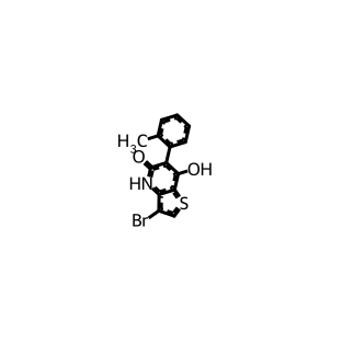 Cc1ccccc1-c1c(O)c2scc(Br)c2[nH]c1=O